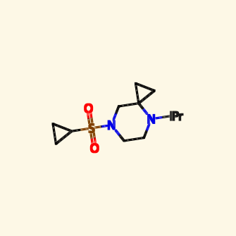 CC(C)N1CCN(S(=O)(=O)C2CC2)CC12CC2